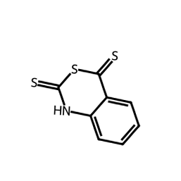 S=c1[nH]c2ccccc2c(=S)s1